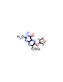 COc1nc2nc(C)[nH]c(=O)c2nc1O[C@H]1CCOC1